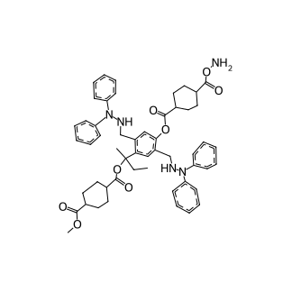 CCC(C)(OC(=O)C1CCC(C(=O)OC)CC1)c1cc(CNN(c2ccccc2)c2ccccc2)c(OC(=O)C2CCC(C(=O)ON)CC2)cc1CNN(c1ccccc1)c1ccccc1